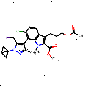 COC(=O)c1c(CCCOC(C)=O)c2ccc(Cl)c(-c3c(C)nn(C45CC4C5)c3CI)c2n1C